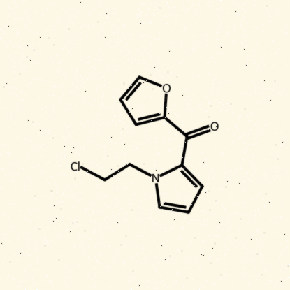 O=C(c1ccco1)c1cccn1CCCl